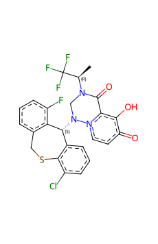 C[C@@H](N1CN([C@@H]2c3cccc(Cl)c3SCc3cccc(F)c32)n2ccc(=O)c(O)c2C1=O)C(F)(F)F